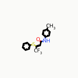 Cc1ccc(NC(=O)C=C(Sc2ccccc2)C(F)(F)F)cc1